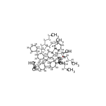 CCCCCCC1(CCCCCC)c2ccccc2-c2ccc(C3(c4ccc5c(c4)C(CCCCCC)(CCCCCC)c4ccccc4-5)c4cc(B(O)O)ccc4-c4ccc(B(O)OCCO)cc43)cc21